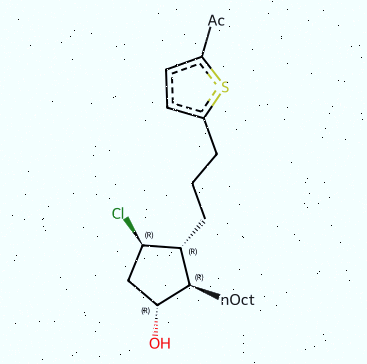 CCCCCCCC[C@@H]1[C@@H](CCCc2ccc(C(C)=O)s2)[C@H](Cl)C[C@H]1O